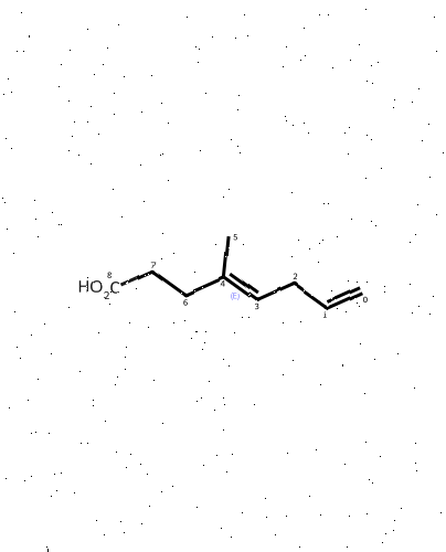 C=CC/C=C(\C)CCC(=O)O